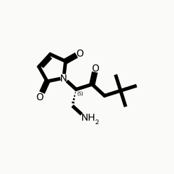 CC(C)(C)CC(=O)[C@H](CN)N1C(=O)C=CC1=O